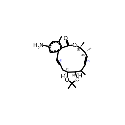 Cc1cc(N)cc2c1C(=O)O[C@@H](C)[C@H](C)/C=C\C(C)[C@H]1OC(C)(C)O[C@H]1C/C=C/2